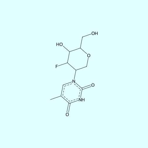 Cc1cn(C2COC(CO)C(O)C2F)c(=O)[nH]c1=O